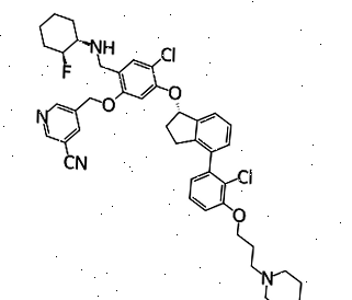 N#Cc1cncc(COc2cc(O[C@H]3CCc4c(-c5cccc(OCCCN6CCCCC6)c5Cl)cccc43)c(Cl)cc2CN[C@@H]2CCCC[C@@H]2F)c1